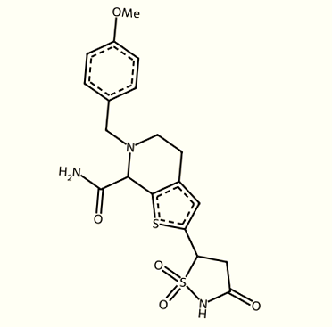 COc1ccc(CN2CCc3cc(C4CC(=O)NS4(=O)=O)sc3C2C(N)=O)cc1